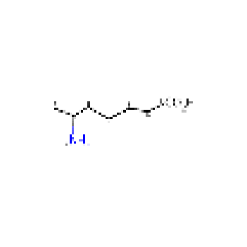 CC(N)CCCCC(=O)O